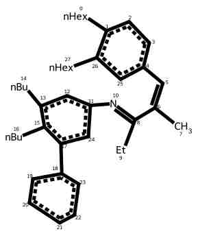 CCCCCCc1ccc(C=C(C)C(CC)=Nc2cc(CCCC)c(CCCC)c(-c3ccccc3)c2)cc1CCCCCC